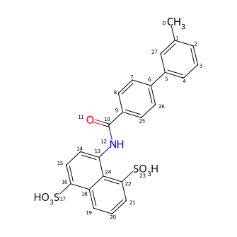 Cc1cccc(-c2ccc(C(=O)Nc3ccc(S(=O)(=O)O)c4cccc(S(=O)(=O)O)c34)cc2)c1